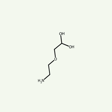 NCCOCC(O)O